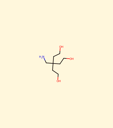 NCC(CCO)(CCO)CCO